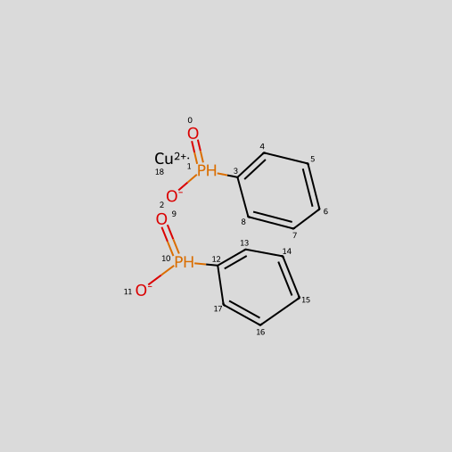 O=[PH]([O-])c1ccccc1.O=[PH]([O-])c1ccccc1.[Cu+2]